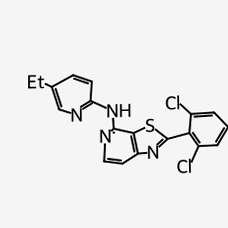 CCc1ccc(Nc2nccc3nc(-c4c(Cl)cccc4Cl)sc23)nc1